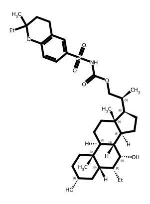 CC[C@H]1[C@@H](O)[C@@H]2[C@H](CC[C@]3(C)[C@@H]([C@H](C)COC(=O)NS(=O)(=O)c4ccc5c(c4)CCC(C)(CC)O5)CC[C@@H]23)[C@@]2(C)CC[C@@H](O)C[C@@H]12